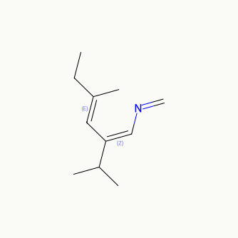 C=N/C=C(\C=C(/C)CC)C(C)C